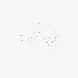 CC1(C)c2ccccc2-c2cc(-c3cc(-c4ccc5c(c4)nc(-c4ccccc4)c4ccc6oc7ccccc7c6c45)nc(-c4ccccc4)n3)ccc21